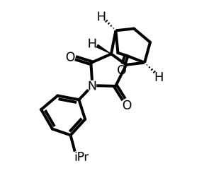 CC(C)c1cccc(N2C(=O)C3[C@@H]4CC[C@@H](CC4=O)[C@H]3C2=O)c1